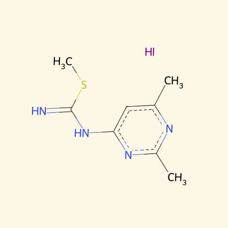 CSC(=N)Nc1cc(C)nc(C)n1.I